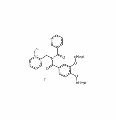 CCCCCCCOc1ccc(C(=O)N(Cc2cccc[n+]2CCC)C(=O)c2ccccc2)cc1OCCCCCCC.[I-]